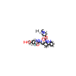 CN1CCC(OC(=O)Nc2cc(CCC(=O)Nc3ccc(CO)cc3F)ccc2-c2ccccc2)CC1